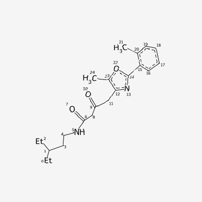 CCC(CC)CCNC(=O)CC(=O)Cc1nc(-c2ccccc2C)oc1C